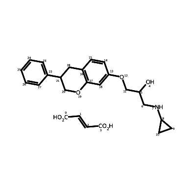 O=C(O)C=CC(=O)O.OC(CNC1CC1)COc1ccc2c(c1)OCC(c1ccccc1)C2